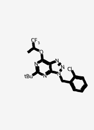 CC(Oc1nc(C(C)(C)C)nc2c1nnn2Cc1ccccc1Cl)C(F)(F)F